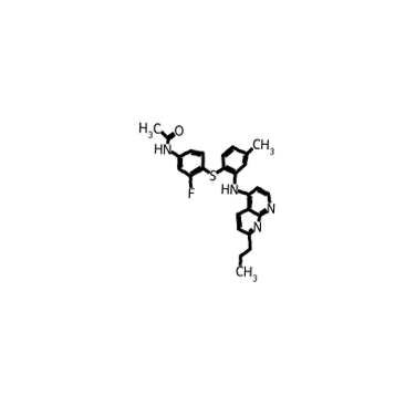 CCCc1ccc2c(Nc3cc(C)ccc3Sc3ccc(NC(C)=O)cc3F)ccnc2n1